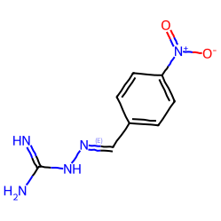 N=C(N)N/N=C/c1ccc([N+](=O)[O-])cc1